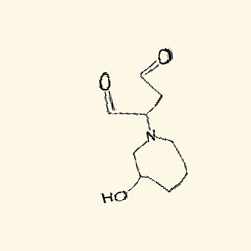 O=CCC(C=O)N1CCCC(O)C1